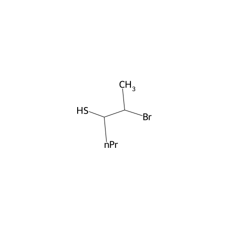 CCCC(S)C(C)Br